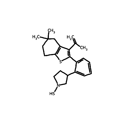 C=C(C)c1c(-c2ccccc2C2CCN(S)C2)sc2c1CC(C)(C)CC2